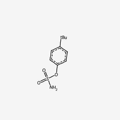 CC(C)(C)c1ccc(OS(N)(=O)=O)cc1